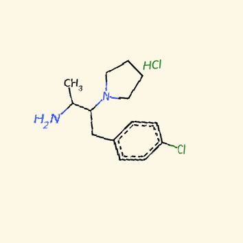 CC(N)C(Cc1ccc(Cl)cc1)N1CCCC1.Cl